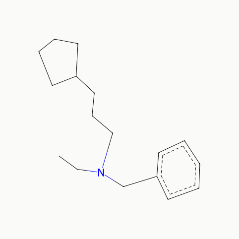 CCN(CCCC1CCCC1)Cc1ccccc1